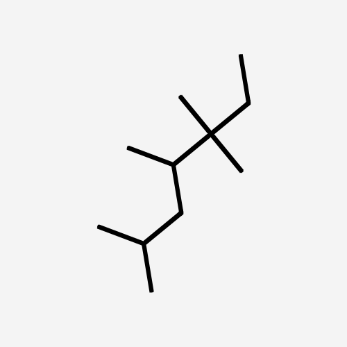 CCC(C)(C)C(C)CC(C)C